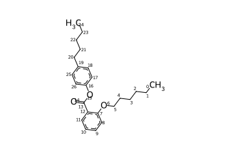 CCCCCCOc1ccccc1C(=O)Oc1ccc(CCCCC)cc1